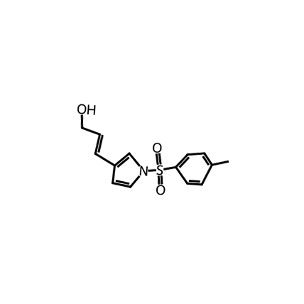 Cc1ccc(S(=O)(=O)n2ccc(C=CCO)c2)cc1